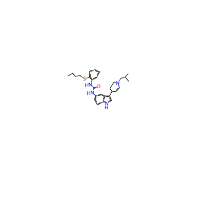 CCCCSc1ccccc1NC(=O)Nc1ccc2[nH]cc(C3C=CN(CC(C)C)CC3)c2c1